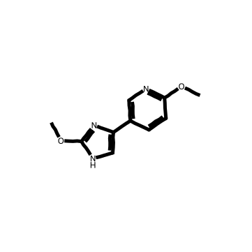 COc1ccc(-c2c[nH]c(OC)n2)cn1